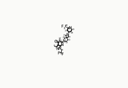 Cc1nn(CC(F)F)c2nc(N3CCC4(CN(c5ccnc(C(F)(F)F)c5)C4)C3)n(C)c(=O)c12